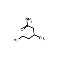 CC(CCS)CC(N)=O